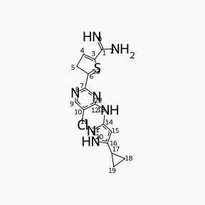 N=C(N)C1=CCC(c2ncc(Cl)c(Nc3cc(C4CC4)[nH]n3)n2)S1